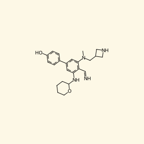 CN(CC1CNC1)c1cc(-c2ccc(O)cc2)cc(NC2CCCCO2)c1C=N